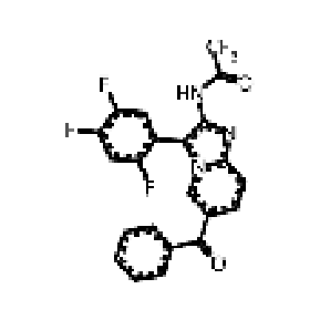 O=C(c1ccccc1)c1ccc2nc(NC(=O)C(F)(F)F)c(-c3cc(F)c(F)cc3F)n2c1